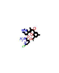 Cc1cc([C@@H](C)Oc2ccc(Cl)nc2C(N)=O)c2oc(-c3ccc4cncn4c3)c(C)c(=O)c2c1